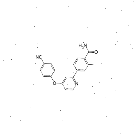 Cc1cc(-c2cc(Oc3ccc(C#N)cc3)ccn2)ccc1C(N)=O